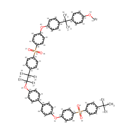 CCC(C)(CC)c1ccc(S(=O)(=O)c2ccc(Oc3ccc(-c4ccc(OC(CC)(CC)C(CC)(CC)c5ccc(S(=O)(=O)c6ccc(Oc7ccc(C(c8ccc(OC(C)C)cc8)(C(F)(F)F)C(F)(F)F)cc7)cc6)cc5)cc4)cc3)cc2)cc1